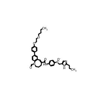 CCCCOCCOc1ccc(-c2ccc3c(c2)C=C(C(=O)Nc2ccc([S+]([O-])Cc4cnc(CCC)[nH]4)cc2)CCCN3C=O)cc1